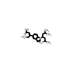 CC/C(=C\C(=O)O)c1ccc2c(ccn2C(CC(C)C)CC(C)C)c1